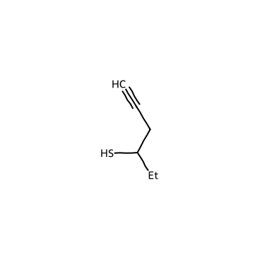 C#CCC(S)CC